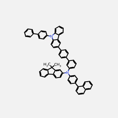 CC1(C)c2ccccc2-c2ccc(N(c3ccc(-c4cccc5ccccc45)cc3)c3cccc(-c4ccc(-c5ccc6c(c5)c5ccccc5n6-c5ccc(-c6ccccc6)cc5)cc4)c3)cc21